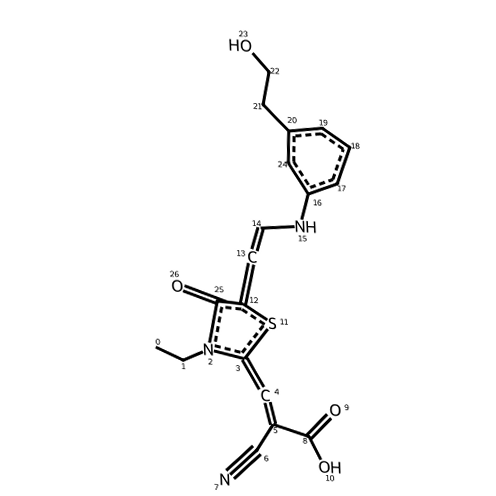 CCn1c(=C=C(C#N)C(=O)O)sc(=C=CNc2cccc(CCO)c2)c1=O